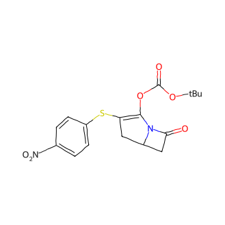 CC(C)(C)OC(=O)OC1=C(Sc2ccc([N+](=O)[O-])cc2)CC2CC(=O)N12